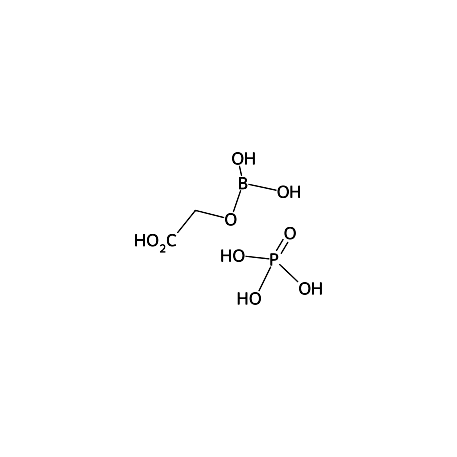 O=C(O)COB(O)O.O=P(O)(O)O